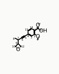 COc1cc(C#CC(C)C2COC2)ccc1C(=O)O